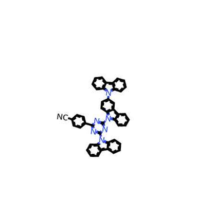 N#Cc1ccc(-c2nc(-n3c4ccccc4c4ccccc43)nc(-n3c4ccccc4c4cc(-n5c6ccccc6c6ccccc65)ccc43)n2)cc1